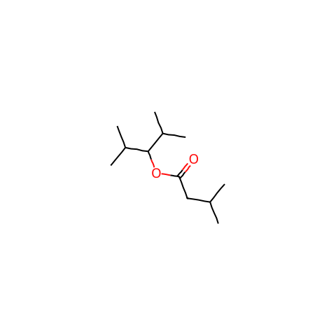 CC(C)CC(=O)OC(C(C)C)C(C)C